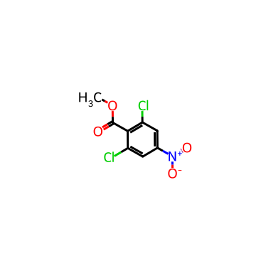 COC(=O)c1c(Cl)cc([N+](=O)[O-])cc1Cl